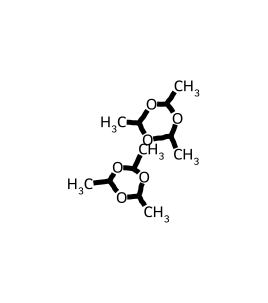 CC1OC(C)OC(C)O1.CC1OC(C)OC(C)O1